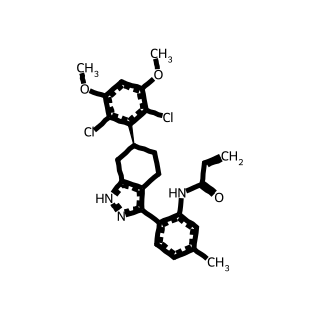 C=CC(=O)Nc1cc(C)ccc1-c1n[nH]c2c1CC[C@H](c1c(Cl)c(OC)cc(OC)c1Cl)C2